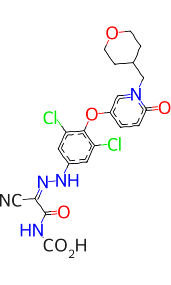 N#CC(=NNc1cc(Cl)c(Oc2ccc(=O)n(CC3CCOCC3)c2)c(Cl)c1)C(=O)NC(=O)O